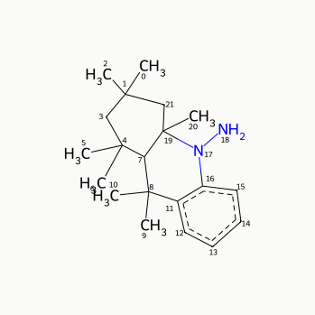 CC1(C)CC(C)(C)C2C(C)(C)c3ccccc3N(N)C2(C)C1